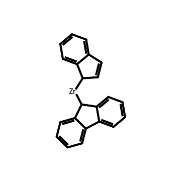 C1=C[CH]([Zr][CH]2c3ccccc3-c3ccccc32)c2ccccc21